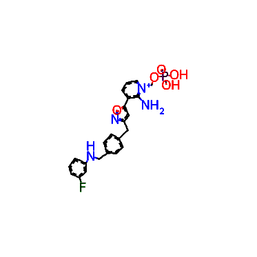 Nc1c(-c2cc(Cc3ccc(CNc4cccc(F)c4)cc3)no2)ccc[n+]1COP(=O)(O)O